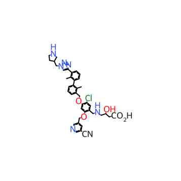 Cc1c(COc2cc(OCc3cncc(C#N)c3)c(CNC[C@@H](O)CC(=O)O)cc2Cl)cccc1-c1cccc(-c2cn(CC3CCNC3)nn2)c1C